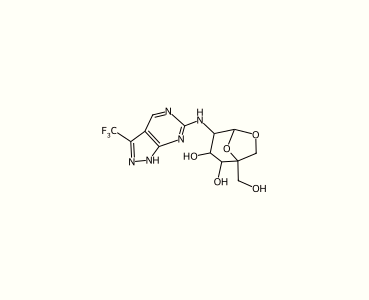 OCC12COC(O1)C(Nc1ncc3c(C(F)(F)F)n[nH]c3n1)C(O)C2O